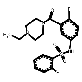 CCN1CCN(C(=O)c2cc(NS(=O)(=O)c3ccccc3F)ccc2F)CC1